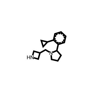 c1ccc(C2CCCN2CC2CNC2)c(C2CC2)c1